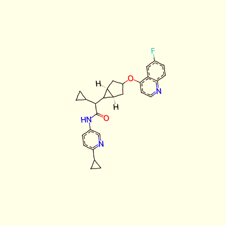 O=C(Nc1ccc(C2CC2)nc1)C(C1CC1)C1[C@H]2CC(Oc3ccnc4ccc(F)cc34)C[C@@H]12